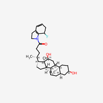 C[C@H](CCC(=O)N1CCC2=C1C(F)CC=C2)[C@H]1CC[C@H]2[C@@H]3CC[C@@H]4C[C@H](O)CC[C@]4(C)[C@H]3C[C@H](O)[C@]12C